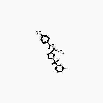 Cc1cccc(C(C)(C)N2CC[C@@](CCc3ccc(C#N)cc3)(C(N)=O)C2)n1